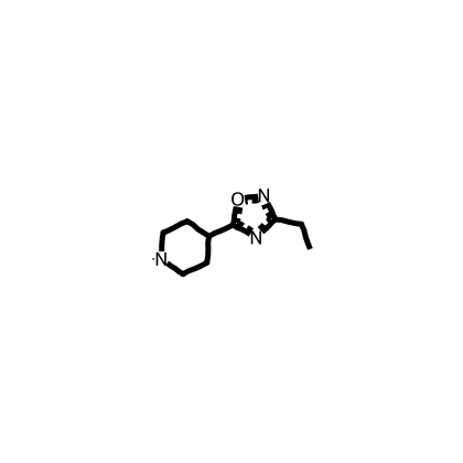 CCc1noc(C2CC[N]CC2)n1